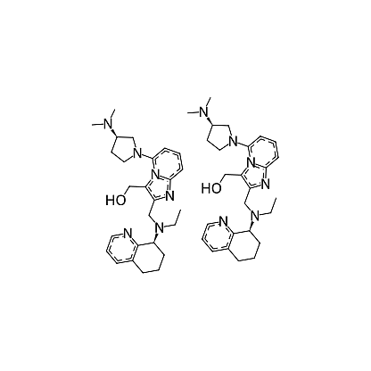 CCN(Cc1nc2cccc(N3CC[C@@H](N(C)C)C3)n2c1CO)[C@H]1CCCc2cccnc21.CCN(Cc1nc2cccc(N3CC[C@@H](N(C)C)C3)n2c1CO)[C@H]1CCCc2cccnc21